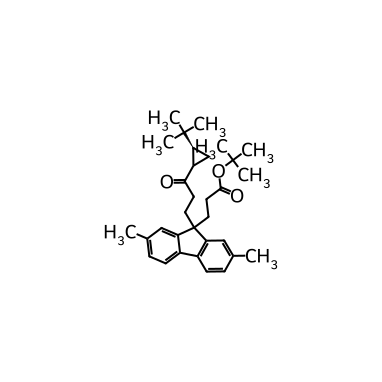 Cc1ccc2c(c1)C(CCC(=O)OC(C)(C)C)(CCC(=O)C1C[C@@H]1C(C)(C)C)c1cc(C)ccc1-2